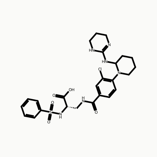 O=C(NC[C@H](NS(=O)(=O)c1ccccc1)C(=O)O)c1ccc(N2CCCCC2NC2=NCCCN2)c(Cl)c1